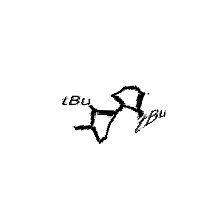 CC1=CCC(C2=CC[C]=C2C(C)(C)C)=C1C(C)(C)C